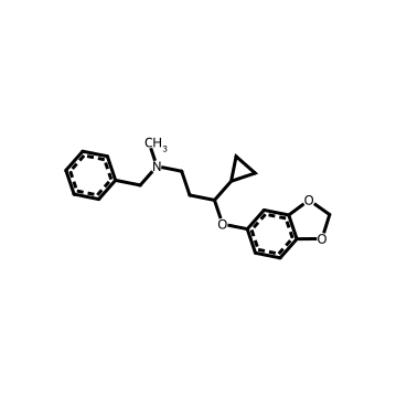 CN(CCC(Oc1ccc2c(c1)OCO2)C1CC1)Cc1ccccc1